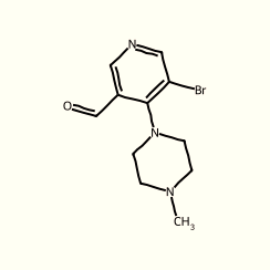 CN1CCN(c2c(Br)cncc2C=O)CC1